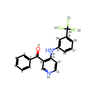 O=C(c1ccccc1)c1cnccc1Nc1cccc(C(F)(F)F)c1